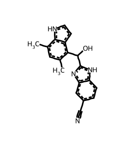 Cc1cc(C)c2[nH]ccc2c1C(O)c1nc2cc(C#N)ccc2[nH]1